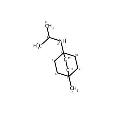 CC(C)NC12CCC(C)(CC1)CC2